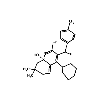 CC(C)C1=N[C@]2(O)CC(C)(C)CC=C2C(C2CCCCC2)=C1C(F)c1ccc(C(F)(F)F)cc1